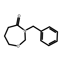 O=C1CCCOCN1Cc1ccccc1